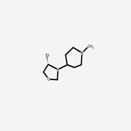 CC[C@H]1COCN1C1CCN(C)CC1